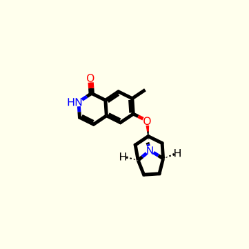 Cc1cc2c(=O)[nH]ccc2cc1O[C@H]1C[C@H]2CC[C@@H](C1)N2C